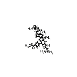 COC(=O)c1ccc([C@@H]2C[C@@H](NC(=O)CN(C)C)CCN2Cc2c(OC)cc(C)c3c2ccn3C(=O)OC(C)(C)C)cc1